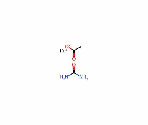 CC(=O)[O-].NC(N)=O.[Cu+]